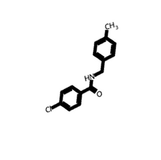 Cc1ccc(CNC(=O)c2ccc(Cl)cc2)cc1